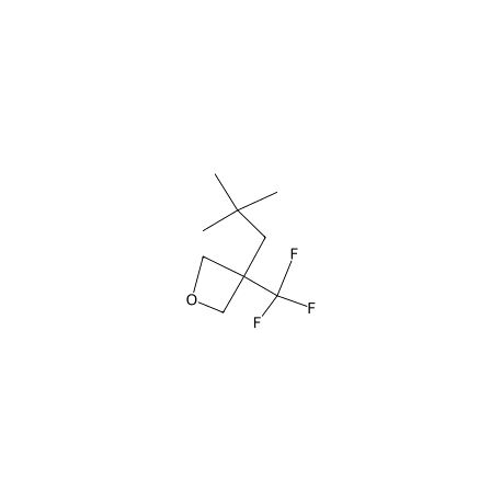 CC(C)(C)CC1(C(F)(F)F)COC1